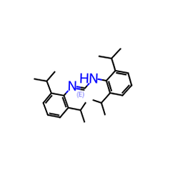 CC(C)c1cccc(C(C)C)c1/N=C/Nc1c(C(C)C)cccc1C(C)C